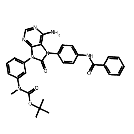 CN(C(=O)OC(C)(C)C)c1cccc(-n2c(=O)n(-c3ccc(NC(=O)c4ccccc4)cc3)c3c(N)ncnc32)c1